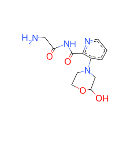 NCC(=O)NC(=O)c1ncccc1N1CCOC(O)C1